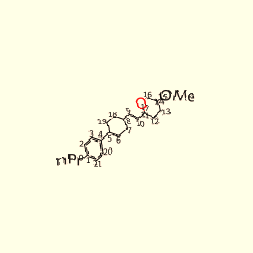 CCCc1ccc(C2CCC(/C=C/C3CCC(OC)CO3)CC2)cc1